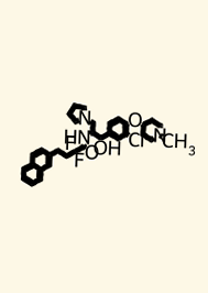 CN1CCC(Oc2ccc(C(O)C(CN3CCCC3)NC(=O)C(F)(F)CCc3ccc4ccccc4c3)cc2Cl)CC1